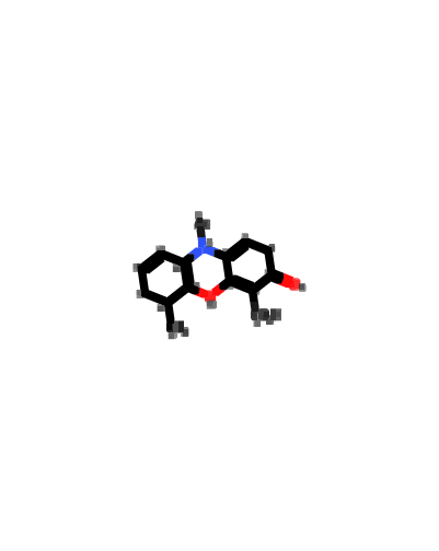 CC(=O)N1C2=CCC(=O)C(C(=O)O)=C2OC2=C1C=CCC2C